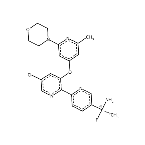 Cc1cc(Oc2cc(Cl)cnc2-c2ccc([C@@](C)(N)F)cn2)cc(N2CCOCC2)n1